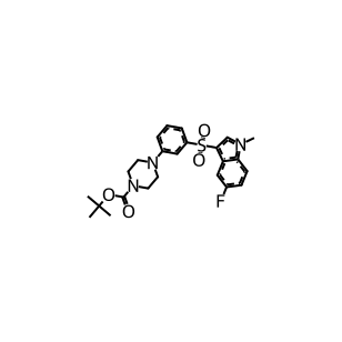 Cn1cc(S(=O)(=O)c2cccc(N3CCN(C(=O)OC(C)(C)C)CC3)c2)c2cc(F)ccc21